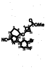 COC(=O)C12CC(OC3CCCc4c(C#N)nn(-c5ccc(F)c(Br)c5)c43)(C1)C2